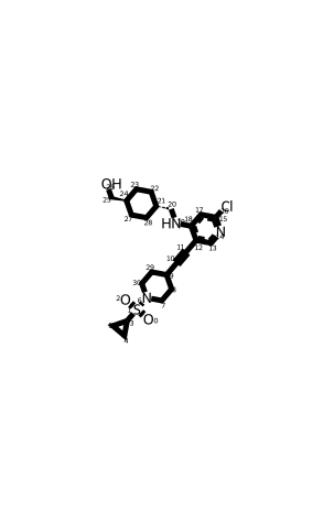 O=S(=O)(C1CC1)N1CCC(C#Cc2cnc(Cl)cc2NC[C@H]2CC[C@H](CO)CC2)CC1